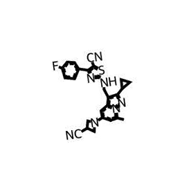 Cc1cc(N2CC(C#N)C2)cc2c(CNc3nc(-c4ccc(F)cc4)c(C#N)s3)c(C3CC3)nn12